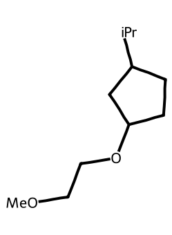 COCCOC1CCC(C(C)C)C1